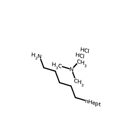 CCCCCCCCCCCCN.CN(C)C.Cl.Cl